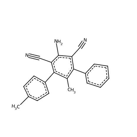 Cc1ccc(-c2c(C)c(-c3ccccc3)c(C#N)c(N)c2C#N)cc1